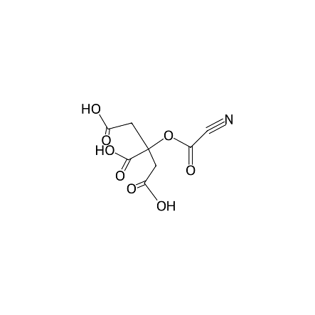 N#CC(=O)OC(CC(=O)O)(CC(=O)O)C(=O)O